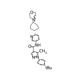 Cc1c(C(=O)Nc2ccc([C@H]3CC[C@H](N4CCOCC4)CC3)nc2)cnn1-c1ccc(C(C)(C)C)cc1